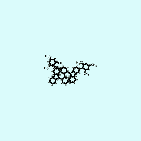 Cc1cc(C)c(-c2ccc3c(c2)c2ccccc2n3-c2ccc(C#N)cc2-c2ncccc2-n2c3ccccc3c3cc(-c4c(C)cc(C)cc4C)ccc32)c(C)c1